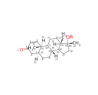 C[C@]12C=CC(=O)C[C@@H]1CC[C@@H]1[C@@H]2CC[C@@]2(C)[C@H]1CC[C@@]2(C)O